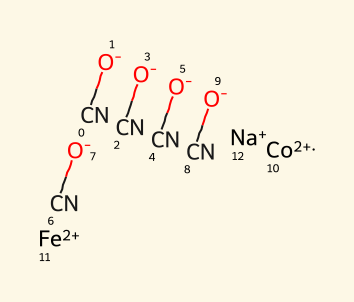 N#C[O-].N#C[O-].N#C[O-].N#C[O-].N#C[O-].[Co+2].[Fe+2].[Na+]